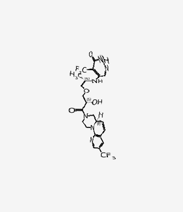 C[C@@H](COC[C@H](O)C(=O)N1CCN2c3ncc(C(F)(F)F)cc3C=C[C@@H]2C1)Nc1cn[nH]c(=O)c1C(F)(F)F